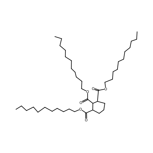 CCCCCCCCCCCOC(=O)C1CCCC(C(=O)OCCCCCCCCCCC)C1C(=O)OCCCCCCCCCCC